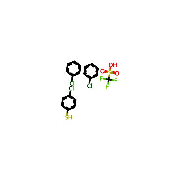 Clc1ccccc1.Clc1ccccc1.O=S(=O)(O)C(F)(F)F.Sc1ccc(Cl)cc1